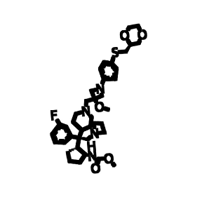 COC(=O)N[C@H]1CCC[C@@H]1[C@](CN1CCC1)(c1cccc(F)c1)C1CCN(CC2(OC)CN(c3ccc(SC[C@@H]4COCCO4)cc3)C2)CC1